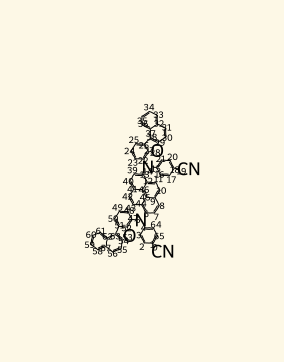 N#Cc1ccc(N(c2ccc3ccc4c(N(c5ccc(C#N)cc5)c5cccc6c5oc5ccc7ccccc7c56)ccc5ccc2c3c54)c2cccc3c2oc2ccc4ccccc4c23)cc1